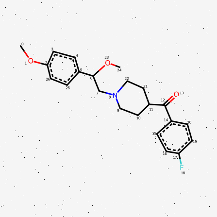 COc1ccc(C(CN2CCC(C(=O)c3ccc(F)cc3)CC2)OC)cc1